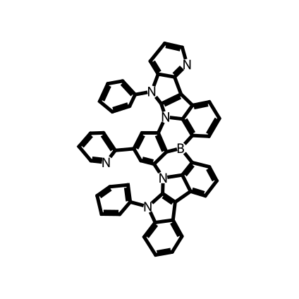 c1ccc(-n2c3ccccc3c3c4cccc5c4n(c32)-c2cc(-c3ccccn3)cc3c2B5c2cccc4c5c6ncccc6n(-c6ccccc6)c5n-3c24)cc1